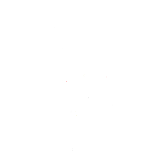 Cc1ccc(S(=O)(=O)c2ccccc2)s1